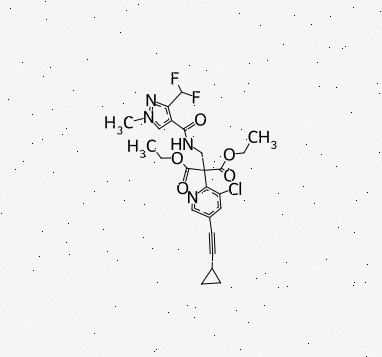 CCOC(=O)C(CNC(=O)c1cn(C)nc1C(F)F)(C(=O)OCC)c1ncc(C#CC2CC2)cc1Cl